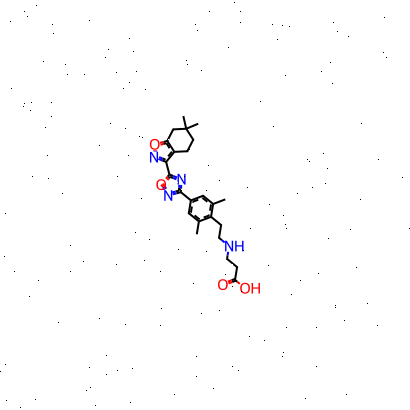 Cc1cc(-c2noc(-c3noc4c3CCC(C)(C)C4)n2)cc(C)c1CCNCCC(=O)O